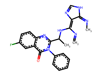 C=N/C(NC(C)c1nc2ccc(F)cc2c(=O)n1-c1ccccc1)=C1/N=CN/C1=N/C